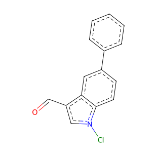 O=Cc1cn(Cl)c2ccc(-c3ccccc3)cc12